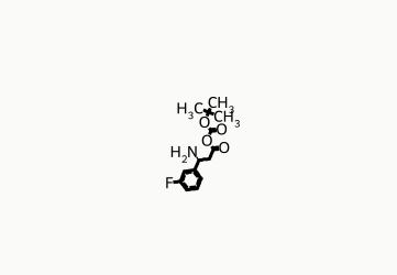 CC(C)(C)OC(=O)OC(=O)C[C@@H](N)c1cccc(F)c1